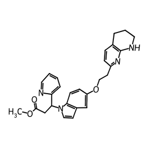 COC(=O)CC(c1ccccn1)n1ccc2cc(OCCc3ccc4c(n3)NCCC4)ccc21